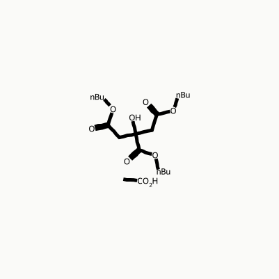 CC(=O)O.CCCCOC(=O)CC(O)(CC(=O)OCCCC)C(=O)OCCCC